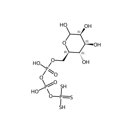 O=P(O)(OC[C@H]1OC(O)[C@@H](O)[C@@H](O)[C@@H]1O)OP(=O)(O)OP(=S)(S)S